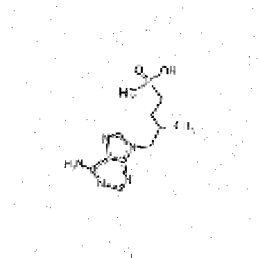 C[C@@H](CCP(=O)(O)O)Cn1cnc2c(N)ncnc21